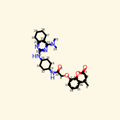 Cc1cc(=O)oc2c(OCC(=O)NC3CCC(Nc4nc5c(c(N(C)C)n4)CCCC5)CC3)cccc12